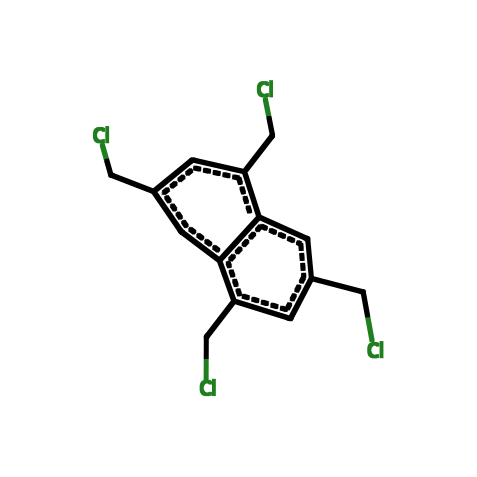 ClCc1cc(CCl)c2cc(CCl)cc(CCl)c2c1